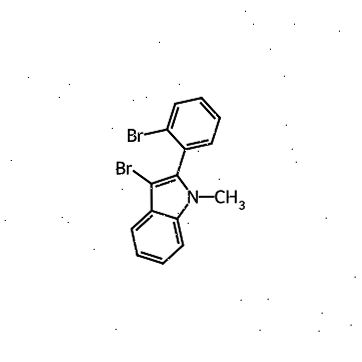 Cn1c(-c2ccccc2Br)c(Br)c2ccccc21